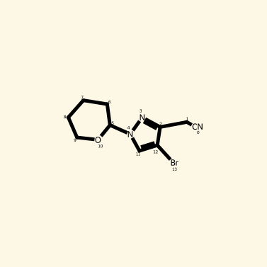 N#CCc1nn(C2CCCCO2)cc1Br